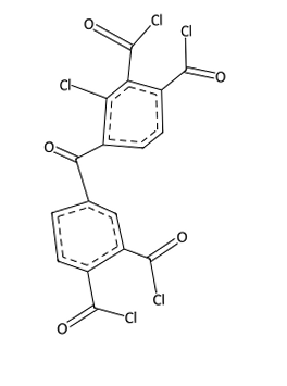 O=C(Cl)c1ccc(C(=O)c2ccc(C(=O)Cl)c(C(=O)Cl)c2Cl)cc1C(=O)Cl